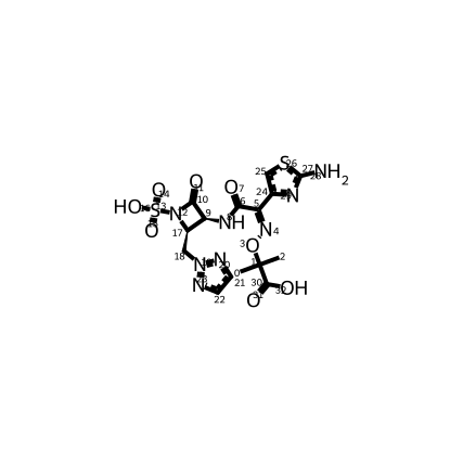 CC(C)(ON=C(C(=O)N[C@@H]1C(=O)N(S(=O)(=O)O)[C@@H]1Cn1nccn1)c1csc(N)n1)C(=O)O